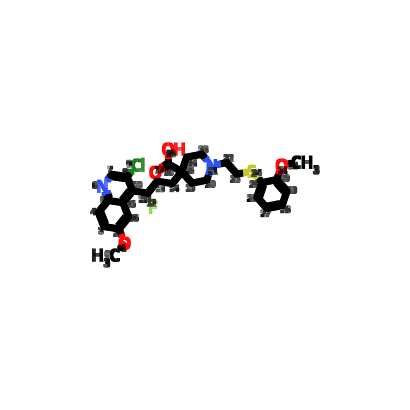 COc1ccc2ncc(Cl)c([C@@H](F)CCC3(C(=O)O)CCN(CCSc4ccccc4OC)CC3)c2c1